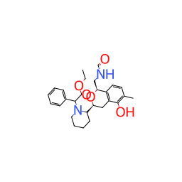 CCOC(=O)C(c1ccccc1)N1CCCCC1[C@@H]1Cc2c(ccc(C)c2O)[C@H](CNC=O)O1